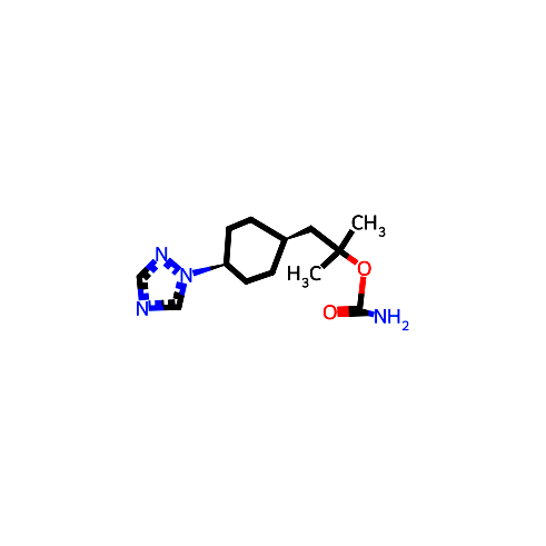 CC(C)(C[C@H]1CC[C@@H](n2cncn2)CC1)OC(N)=O